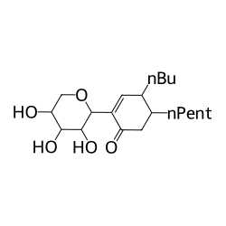 CCCCCC1CC(=O)C(C2OCC(O)C(O)C2O)=CC1CCCC